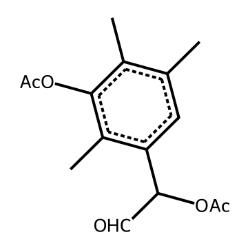 CC(=O)Oc1c(C)c(C)cc(C(C=O)OC(C)=O)c1C